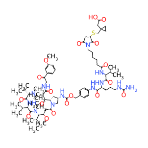 CC[C@H](C)[C@@H]([C@@H](CC(=O)N1C[C@@H](NC(=O)OCc2ccc(NC(=O)[C@H](CCCNC(N)=O)NC(=O)[C@@H](NC(=O)CCCCCN3C(=O)CC(SCC4(CC(=O)O)CC4)C3=O)C(C)C)cc2)C[C@H]1[C@H](OC)[C@@H](C)C(=O)NCC(=O)c1cccc(OC)c1)OC)N(C)C(=O)[C@@H](NC(=O)[C@H](C(C)C)N(C)C)C(C)C